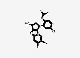 OC1C[C@@H](c2cc(Cl)ccc2OC(F)F)c2c1nc1cc(F)c(Br)cn21